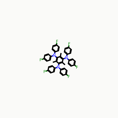 Cc1c(N(c2ccc(F)cc2)c2ccc(F)cc2)c(C)c(N(c2ccc(F)cc2)c2ccc(F)cc2)c(C)c1N(c1ccc(F)cc1)c1ccc(F)cc1